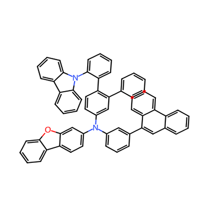 c1ccc(-c2cc(N(c3cccc(-c4cc5ccccc5c5ccccc45)c3)c3ccc4c(c3)oc3ccccc34)ccc2-c2ccccc2-n2c3ccccc3c3ccccc32)cc1